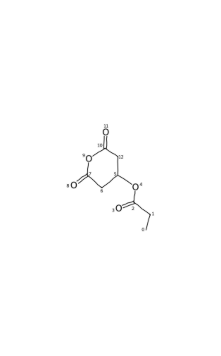 CCC(=O)OC1CC(=O)OC(=O)C1